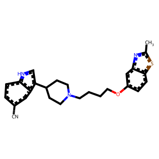 Cc1nc2cc(OCCCCN3CCC(c4c[nH]c5ccc(C#N)cc45)CC3)ccc2s1